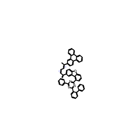 C=C(/C=C\C=C(/C)c1ccc2c3ccccc3c3ccccc3c2c1)c1ccc2oc3cccc(-c4nc(-c5ccccc5)nc(-c5ccccc5-c5ccccc5)n4)c3c2c1